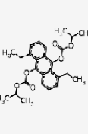 CCc1cccc2c(OC(=O)OC(C)C)c3c(CC)cccc3c(OC(=O)OC(C)C)c12